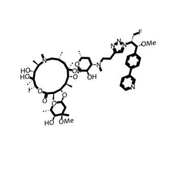 CO[C@H](c1ccc(-c2cccnc2)cc1)[C@@H](CF)n1cc(CCN(C)[C@H]2C[C@@H](C)O[C@@H](O[C@@H]3[C@@H](C)[C@H](O[C@H]4C[C@@](C)(OC)[C@@H](O)[C@H](C)O4)[C@@H](C)C(=O)O[C@H](I)[C@@](C)(O)[C@H](O)[C@@H](C)N(C)C[C@H](C)C[C@@]3(C)O)[C@@H]2O)nn1